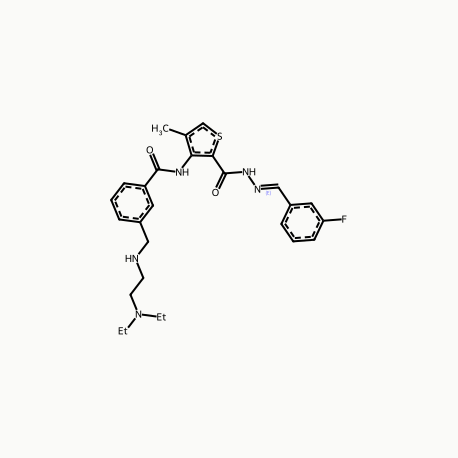 CCN(CC)CCNCc1cccc(C(=O)Nc2c(C)csc2C(=O)N/N=C/c2cccc(F)c2)c1